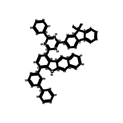 CC1(C)c2ccccc2-c2ccc(-c3nc(-c4ccccc4)nc(-c4ccc(-c5cccc(-c6ccccc6)c5)c5oc6cc7ccccc7cc6c45)n3)cc21